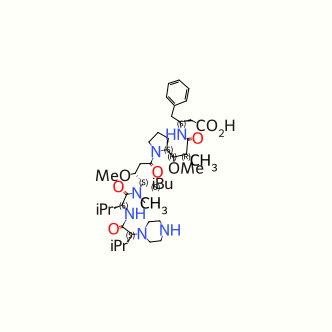 CC[C@H](C)[C@@H](C(CC(=O)N1CCC[C@H]1[C@H](OC)[C@@H](C)C(=O)N[C@H](CC(=O)O)Cc1ccccc1)OC)N(C)C(=O)[C@@H](NC(=O)[C@H](C(C)C)N1CCNCC1)C(C)C